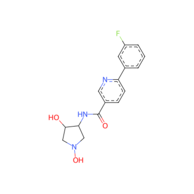 O=C(NC1CN(O)CC1O)c1ccc(-c2cccc(F)c2)nc1